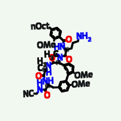 CCCCCCCCc1ccc(C(=O)N[C@@H](CCCN)C(=O)N(C)[C@@H]2C(=O)N[C@@H](C)C(=O)N[C@H](C(=O)NCC#N)Cc3ccc(OC)c(c3)-c3cc2ccc3OC)c(OC)c1